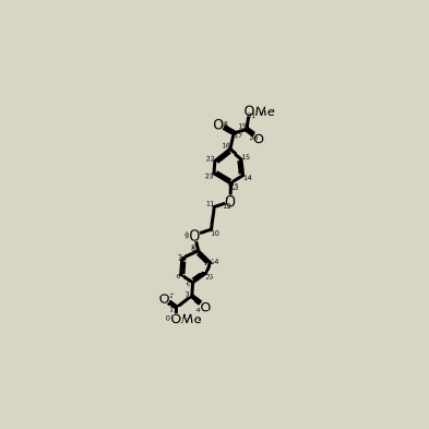 COC(=O)C(=O)c1ccc(OCCOc2ccc(C(=O)C(=O)OC)cc2)cc1